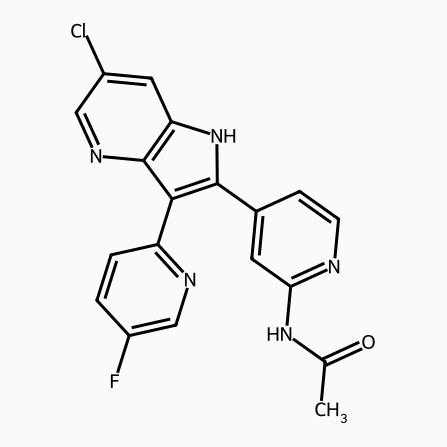 CC(=O)Nc1cc(-c2[nH]c3cc(Cl)cnc3c2-c2ccc(F)cn2)ccn1